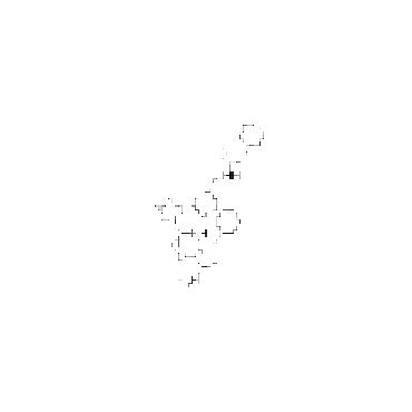 Cc1cc(C(=O)N[C@@H](Cc2ccccc2)C(=O)C(N)=O)n(-c2cccc(CNC(=O)Cc3ccccc3)c2)n1